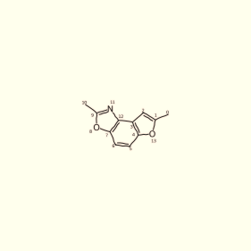 Cc1cc2c(ccc3oc(C)nc32)o1